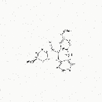 COCc1ccc2c(c1)N(C(=O)[C@H]1CC[C@H](OC)CC1)Cc1cccnc1N2